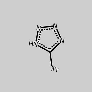 [CH2]C(C)c1nnn[nH]1